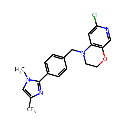 Cn1cc(C(F)(F)F)nc1-c1ccc(CN2CCOc3cnc(Cl)cc32)cc1